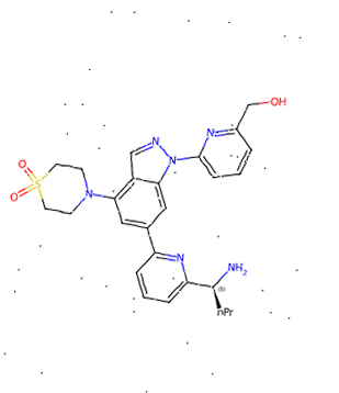 CCC[C@H](N)c1cccc(-c2cc(N3CCS(=O)(=O)CC3)c3cnn(-c4cccc(CO)n4)c3c2)n1